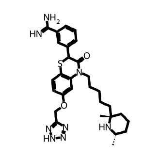 C[C@H]1CCC[C@@](C)(CCCCCN2C(=O)C(c3cccc(C(=N)N)c3)Sc3ccc(OCc4nn[nH]n4)cc32)N1